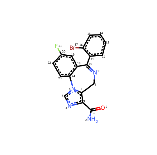 NC(=O)c1ncn2c1CN=C(c1ccccc1Br)c1cc(F)ccc1-2